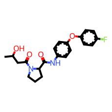 CC(O)CC(=O)N1CCCC1C(=O)Nc1ccc(Oc2ccc(F)cc2)cc1